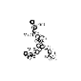 CCC[C@H](C)C1C=CC(/C=C(\C)[C@H](C[C@@H]2CC[C@@H](C)[C@](O)(C(=O)C(=O)N3CCCC4[C@H]3C(=O)O[C@@H](CC(=O)[C@H](C)/C=C(\C)[C@@H](O)[C@@H](OC)C(C)=O)[C@H]4C[C@@H]3CC[C@@H](OC(=O)C(C)(C)Cc4ccccn4)[C@H](OC)C3)O2)OC)ON1c1ccccc1